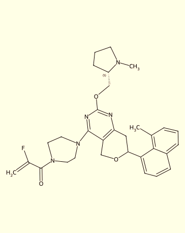 C=C(F)C(=O)N1CCN(c2nc(OC[C@@H]3CCCN3C)nc3c2COC(c2cccc4cccc(C)c24)C3)CC1